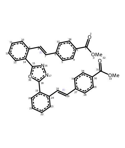 COC(=O)c1ccc(/C=C/c2ccccc2-c2nnc(-c3ccccc3/C=C/c3ccc(C(=O)OC)cc3)o2)cc1